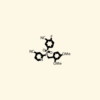 COc1ccc(CN(c2cc(C#N)ccn2)S(=O)(=O)c2ccc(F)c(C#N)c2)c(OC)c1